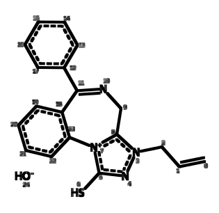 C=CCn1nc(S)[n+]2c1CN=C(c1ccccc1)c1ccccc1-2.[OH-]